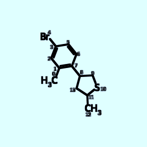 Cc1cc(Br)ccc1C1CSC(C)C1